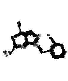 Nc1nc(Cl)c2cnn(Cc3ccccc3F)c2n1